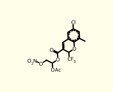 CC(=O)OC(CO[N+](=O)[O-])OC(=O)C1=Cc2cc(Cl)cc(C)c2OC1C(F)(F)F